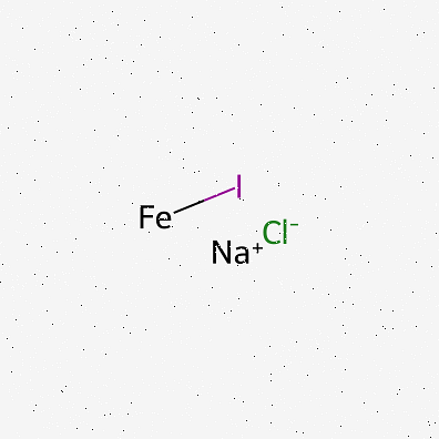 [Cl-].[Fe][I].[Na+]